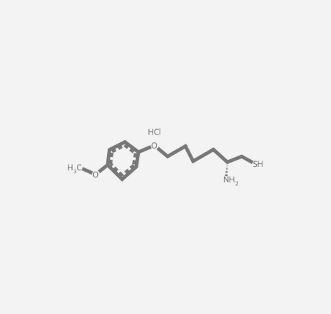 COc1ccc(OCCCC[C@@H](N)CS)cc1.Cl